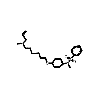 C=CCN(C)CCCCCCOC1CCC(N(C)S(=O)(=O)c2ccccc2)CC1